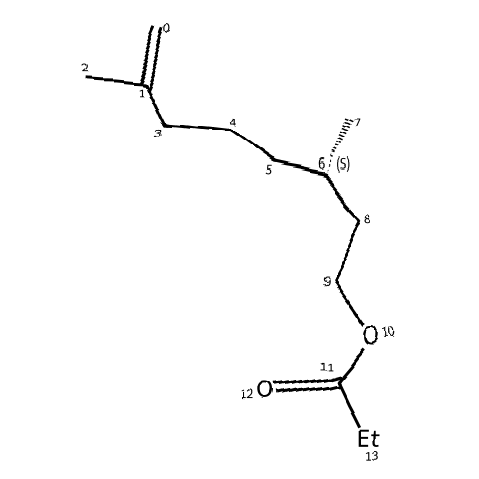 C=C(C)CCC[C@H](C)CCOC(=O)CC